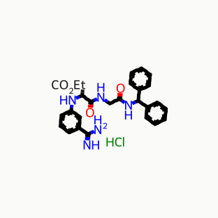 CCOC(=O)C(Nc1cccc(C(=N)N)c1)C(=O)NCC(=O)NC(c1ccccc1)c1ccccc1.Cl